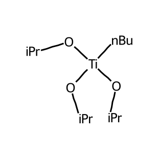 CCC[CH2][Ti]([O]C(C)C)([O]C(C)C)[O]C(C)C